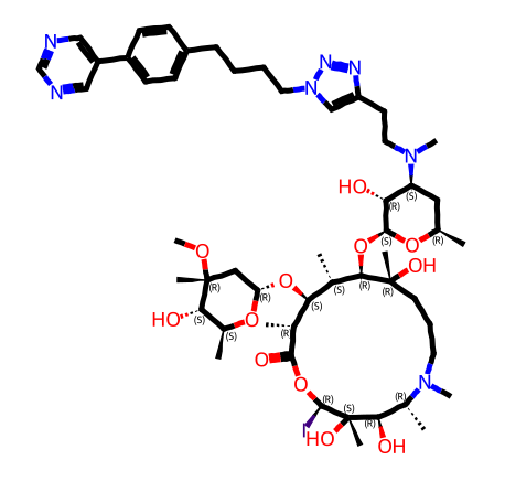 CO[C@]1(C)C[C@H](O[C@H]2[C@H](C)[C@@H](O[C@@H]3O[C@H](C)C[C@H](N(C)CCc4cn(CCCCc5ccc(-c6cncnc6)cc5)nn4)[C@H]3O)[C@](C)(O)CCCN(C)[C@H](C)[C@@H](O)[C@](C)(O)[C@@H](I)OC(=O)[C@@H]2C)O[C@@H](C)[C@@H]1O